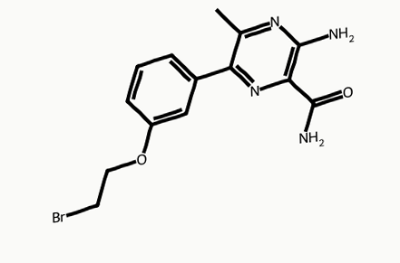 Cc1nc(N)c(C(N)=O)nc1-c1cccc(OCCBr)c1